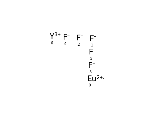 [Eu+2].[F-].[F-].[F-].[F-].[F-].[Y+3]